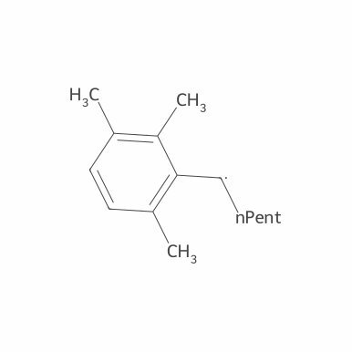 CCCCC[CH]c1c(C)ccc(C)c1C